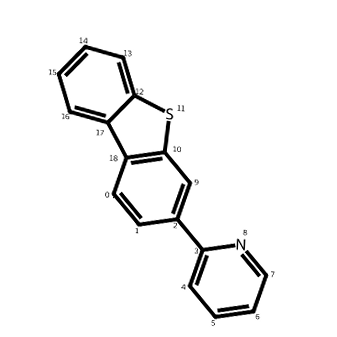 [c]1cc(-c2ccccn2)cc2sc3ccccc3c12